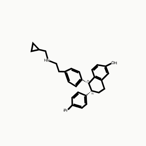 CC(C)c1ccc([C@H]2CCc3cc(O)ccc3[C@H]2c2ccc(CCNCC3CC3)cc2)cc1